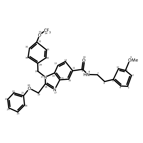 COc1cccc(CCNC(=O)c2ccc3c(c2)nc(COc2ccccc2)n3Cc2ccc(OC(F)(F)F)cc2)c1